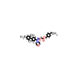 C=Cc1ccc(COC(=O)CO/N=C(/c2ccc(-c3c(C)cc(C)cc3C)cc2)N2CCOCC2)cc1